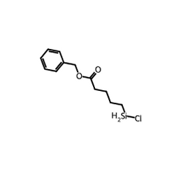 O=C(CCCC[SiH2]Cl)OCc1ccccc1